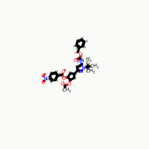 CC(=O)OC1CC(c2cc(NC(=O)OCc3ccccc3)n(C(C)(C)C)n2)CC1OC(=O)c1ccc([N+](=O)[O-])cc1